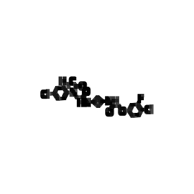 CC(=O)N(CC(=O)NC12CC(NC(=O)COc3ccc(Cl)c(F)c3)(C1)C2)c1ccc(Cl)cc1